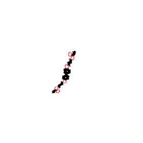 C=CC(=O)OCCCCOc1ccc(-c2ccc(OCCCCOC(=O)C=C)cc2)cc1